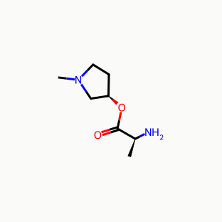 C[C@H](N)C(=O)O[C@@H]1CCN(C)C1